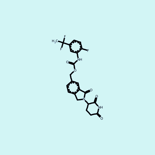 CC(F)(F)c1ccc(F)c(NC(=O)OCc2ccc3c(c2)C(=O)N(C2CCC(=O)NC2=O)C3)c1